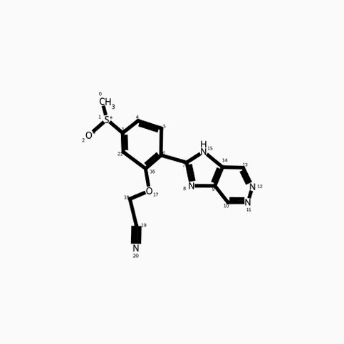 C[S+]([O-])c1ccc(-c2nc3cnncc3[nH]2)c(OCC#N)c1